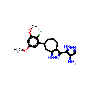 COc1cc(OC)c(F)c(C2CCCc3c(-c4[nH]ncc4N)n[nH]c3C2)c1